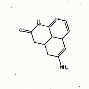 NC1=CC2C=CC=C3NC(=O)CC(C1)C32